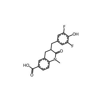 CN1C(=O)C(Cc2cc(F)c(O)c(F)c2)Cc2cc(C(=O)O)ccc21